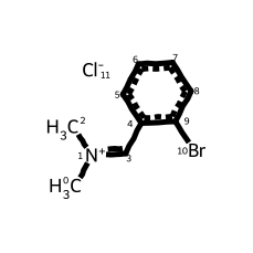 C[N+](C)=Cc1ccccc1Br.[Cl-]